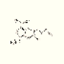 NCc1ccc(C(N)=O)c(CC(CCC=O)C(N)=O)c1